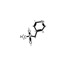 CS(=O)(=O)[CH]c1ccncc1